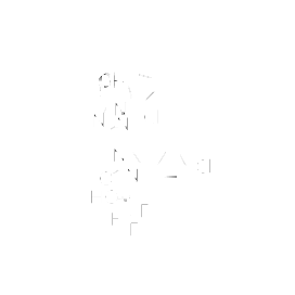 C[C@H](O)c1nc(Cn2cc(-c3ccc(Cl)cc3)n(C[C@H](O)C(F)(F)F)c2=O)nn1-c1c(Cl)cccc1Cl